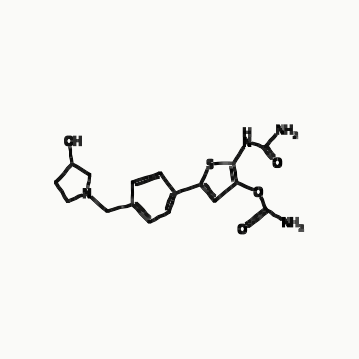 NC(=O)Nc1sc(-c2ccc(CN3CCC(O)C3)cc2)cc1OC(N)=O